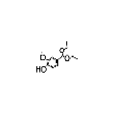 CCOC(OCC)c1ccc(O)c(OC)c1